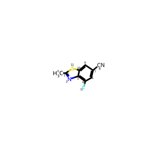 Cc1nc2c(F)cc(C#N)cc2s1